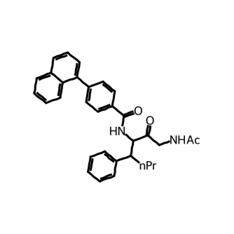 CCCC(c1ccccc1)C(NC(=O)c1ccc(-c2cccc3ccccc23)cc1)C(=O)CNC(C)=O